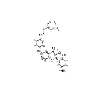 CCN(CC)CCOc1ccc(Nc2ncc3c(n2)N(C)C(=O)N(c2cc(N)ccc2Cl)C3)cc1